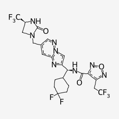 O=C(N[C@H](c1cn2ncc(CN3C[C@@H](C(F)(F)F)NC3=O)cc2n1)C1CCC(F)(F)CC1)c1nonc1CC(F)(F)F